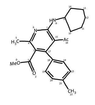 COC(=O)c1c(C)nc(NC2CCCCC2)c(C(C)=O)c1-c1ccc(C)cc1